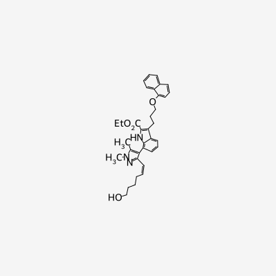 CCOC(=O)c1[nH]c2c(-c3c(/C=C\CCCCO)nn(C)c3C)cccc2c1CCCOc1cccc2ccccc12